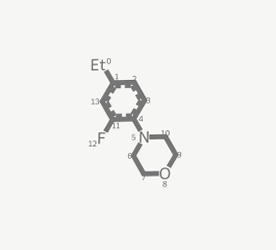 CCc1ccc(N2CCOCC2)c(F)c1